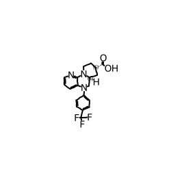 O=C(O)[C@H]1CCN2c3ncccc3N(c3ccc(C(F)(F)F)cc3)C[C@@H]2C1